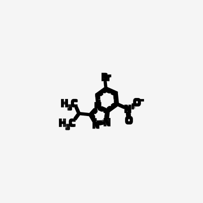 CC(C)c1nnc2c([N+](=O)[O-])cc(Br)cn12